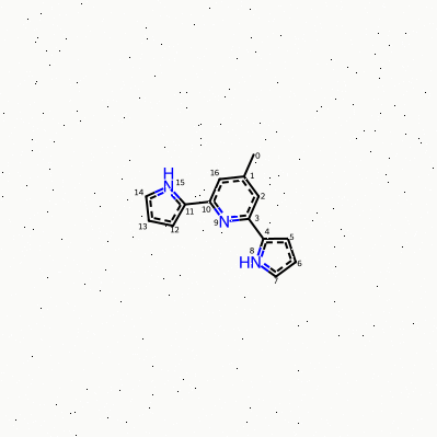 Cc1cc(-c2ccc[nH]2)nc(-c2ccc[nH]2)c1